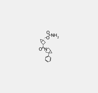 NC(=O)OC[C@@]12CC1[C@H](C(=O)N1CC3CC3(c3ccccc3)C1)C2